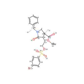 C[C@H](c1ccccc1)N1C[C@@](C)(C(=O)OC(C)(C)C)C(CCOS(=O)(=O)c2ccc(Br)cc2)C1=O